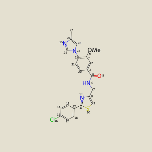 COc1cc(C(=O)NCc2csc(-c3ccc(Cl)cc3)n2)ccc1-n1cnc(C)c1